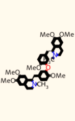 COc1cc2c(cc1OC)[C@@H](Cc1ccc(OC)c(Oc3cc(C[C@@H]4c5cc(OC)c(OC)cc5CCN4C)ccc3OC)c1)N(C)CC2